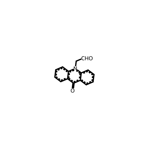 O=CCn1c2ccccc2c(=O)c2ccccc21